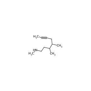 CC#CCC(C)C(C)CCNC